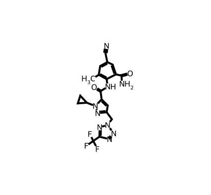 Cc1cc(C#N)cc(C(N)=O)c1NC(=O)c1cc(Cn2nnc(C(F)(F)F)n2)nn1C1CC1